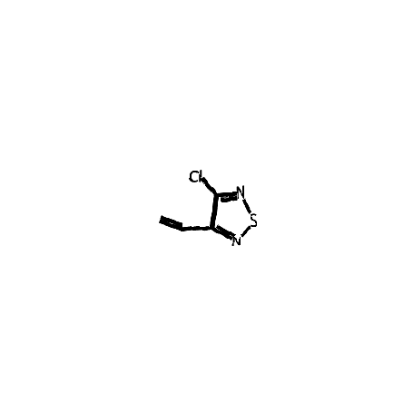 C=Cc1nsnc1Cl